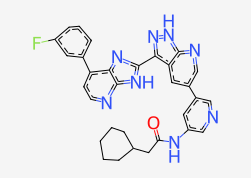 O=C(CC1CCCCC1)Nc1cncc(-c2cnc3[nH]nc(-c4nc5c(-c6cccc(F)c6)ccnc5[nH]4)c3c2)c1